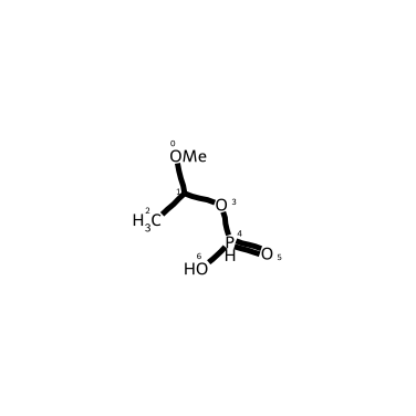 COC(C)O[PH](=O)O